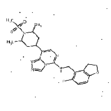 CC1CC(c2cnc(NCc3c(F)ccc4c3CCO4)n3cnnc23)CC(C)N1S(C)(=O)=O